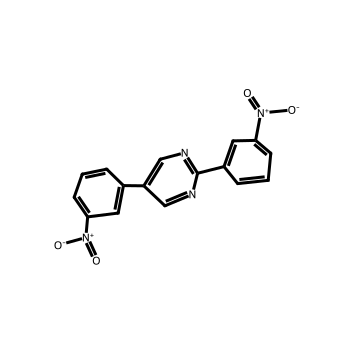 O=[N+]([O-])c1cccc(-c2cnc(-c3cccc([N+](=O)[O-])c3)nc2)c1